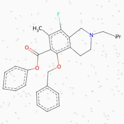 Cc1c(F)c2c(c(OCc3ccccc3)c1C(=O)Oc1ccccc1)CCN(CC(C)C)C2